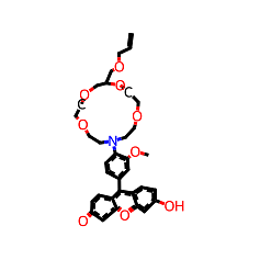 C=CCOCC1COCCOCCN(c2ccc(-c3c4ccc(=O)cc-4oc4cc(O)ccc34)cc2OC)CCOCCO1